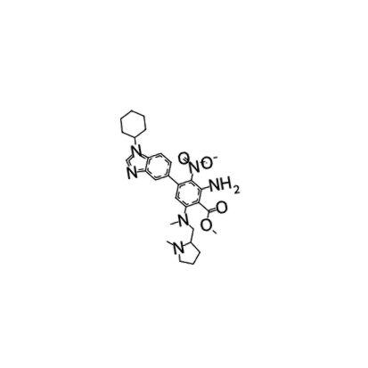 COC(=O)c1c(N(C)CC2CCCN2C)cc(-c2ccc3c(c2)ncn3C2CCCCC2)c([N+](=O)[O-])c1N